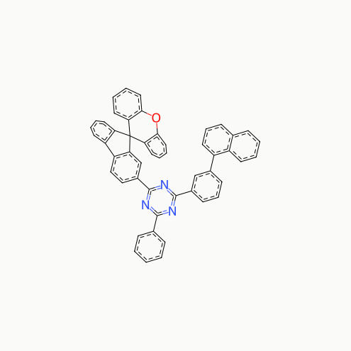 c1ccc(-c2nc(-c3cccc(-c4cccc5ccccc45)c3)nc(-c3ccc4c(c3)C3(c5ccccc5Oc5ccccc53)c3ccccc3-4)n2)cc1